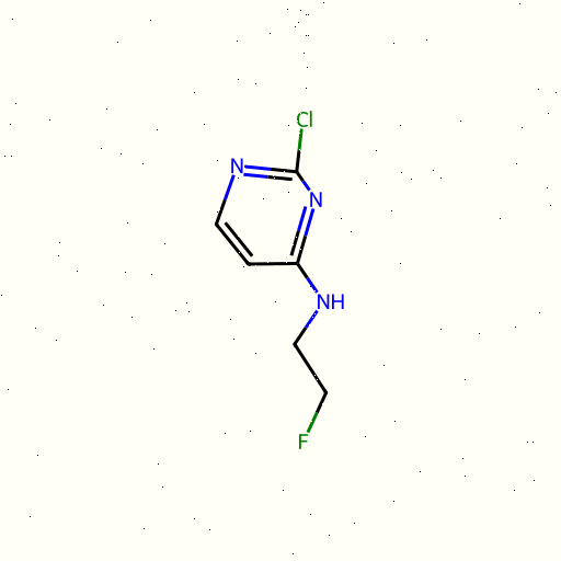 FCCNc1ccnc(Cl)n1